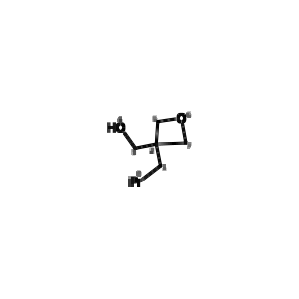 CC(C)CC1(CO)COC1